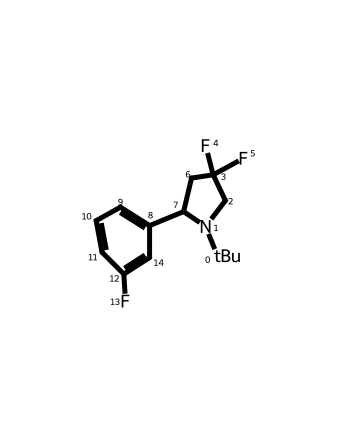 CC(C)(C)N1CC(F)(F)CC1c1cccc(F)c1